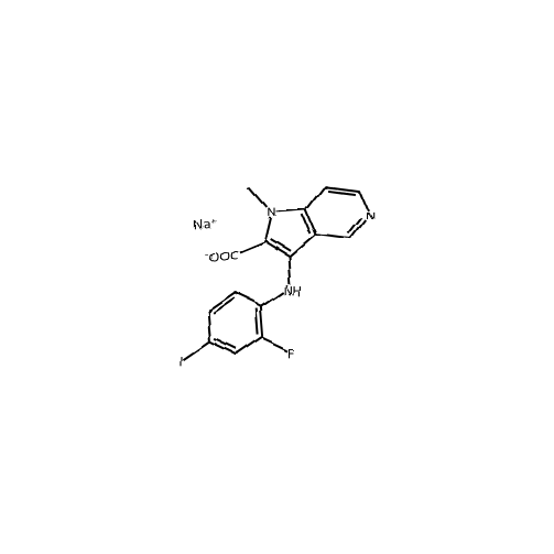 Cn1c(C(=O)[O-])c(Nc2ccc(I)cc2F)c2cnccc21.[Na+]